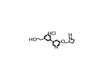 Cl.OCCc1cccc(-c2cncc(OC[C@@H]3CCN3)c2)c1